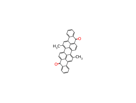 Cc1cc2c3c(ccc4c5c(C)cc6c7c(ccc(c1c34)c75)C(=O)c1ccccc1-6)C(=O)c1ccccc1-2